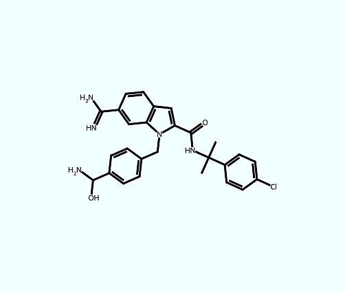 CC(C)(NC(=O)c1cc2ccc(C(=N)N)cc2n1Cc1ccc(C(N)O)cc1)c1ccc(Cl)cc1